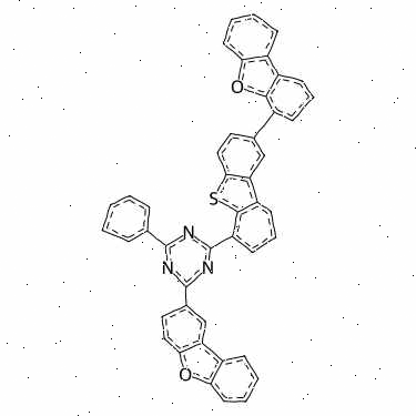 c1ccc(-c2nc(-c3ccc4oc5ccccc5c4c3)nc(-c3cccc4c3sc3ccc(-c5cccc6c5oc5ccccc56)cc34)n2)cc1